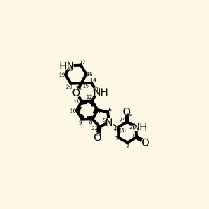 O=C1CC[C@H](N2Cc3c(ccc4c3NCC3(CCNCC3)O4)C2=O)C(=O)N1